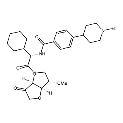 CCN1CCC(c2ccc(C(=O)N[C@H](C(=O)N3C[C@H](OC)[C@H]4OCC(=O)[C@H]43)C3CCCCC3)cc2)CC1